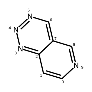 c1cc2nnncc2cn1